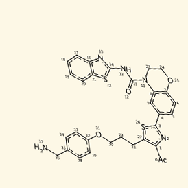 CC(=O)c1nc(-c2ccc3c(c2)N(C(=O)Nc2nc4ccccc4s2)CCO3)sc1CCCOc1ccc(CN)cc1